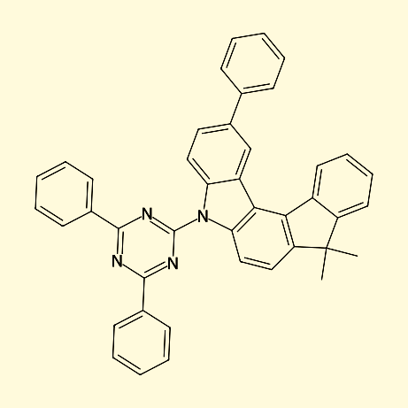 CC1(C)c2ccccc2-c2c1ccc1c2c2cc(-c3ccccc3)ccc2n1-c1nc(-c2ccccc2)nc(-c2ccccc2)n1